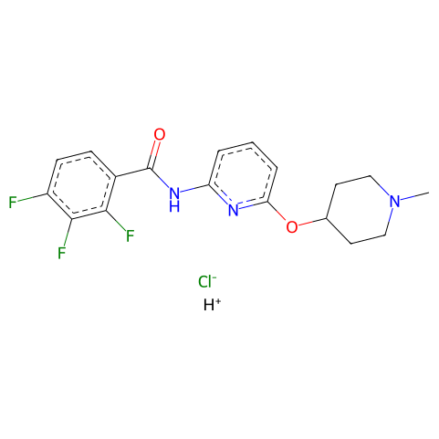 CN1CCC(Oc2cccc(NC(=O)c3ccc(F)c(F)c3F)n2)CC1.[Cl-].[H+]